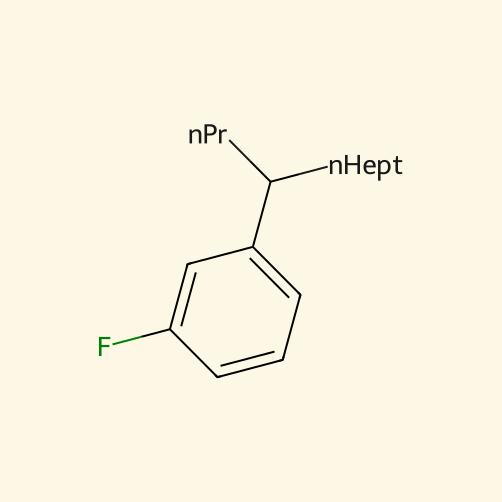 CCCCCCCC(CCC)c1cccc(F)c1